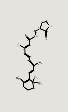 CC(C=CC1=C(C)CCCC1(C)C)=CC=CC(C)=CC(=O)NN[C@H]1CCSC1=O